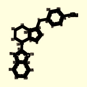 CC(C)(C)c1ccc(Cc2ccc3n2CCCN3c2nc3ccccc3o2)cc1